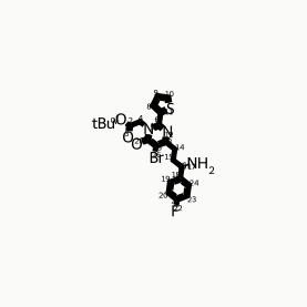 CC(C)(C)OC(=O)Cn1c(-c2cccs2)nc(CC[C@H](N)c2ccc(F)cc2)c(Br)c1=O